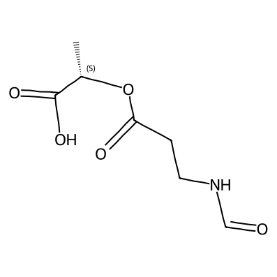 C[C@H](OC(=O)CCNC=O)C(=O)O